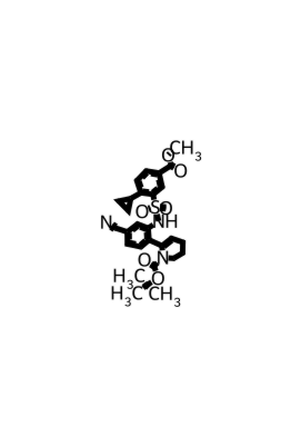 COC(=O)c1ccc(C2CC2)c(S(=O)(=O)Nc2cc(C#N)ccc2C2=CCCCN2C(=O)OC(C)(C)C)c1